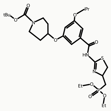 CCOP(=O)(CC1CSC(NC(=O)c2cc(OC(C)C)cc(OC3CCN(C(=O)OC(C)(C)C)CC3)c2)=N1)OCC